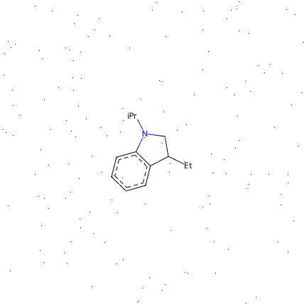 CCC1CN(C(C)C)c2ccccc21